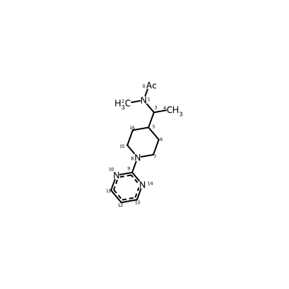 CC(=O)N(C)C(C)C1CCN(c2ncccn2)CC1